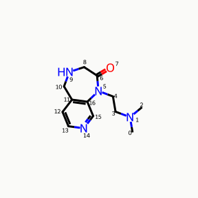 CN(C)CCN1C(=O)CNCc2ccncc21